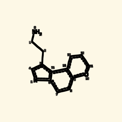 NCCc1cnc2ccc3occcc3c12